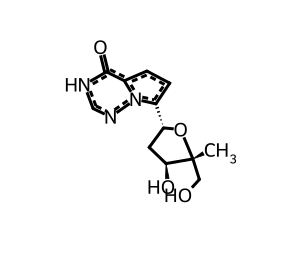 C[C@]1(CO)O[C@@H](c2ccc3c(=O)[nH]cnn23)C[C@@H]1O